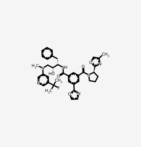 Cc1coc([C@H]2CCCN2C(=O)c2cc(C(=O)N[C@@H](Cc3ccccc3)[C@H](O)CN(C)c3cncc(C(C)(C)F)c3)cc(-c3ncco3)c2)n1